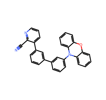 N#Cc1ncccc1-c1cccc(-c2cccc(N3c4ccccc4Oc4ccccc43)c2)c1